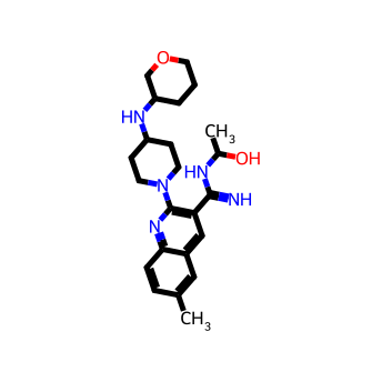 Cc1ccc2nc(N3CCC(NC4CCCOC4)CC3)c(C(=N)NC(C)O)cc2c1